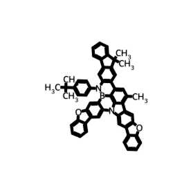 Cc1cc2c3c4c1c1cc5oc6ccccc6c5cc1n4-c1cc4c(cc1B3N(c1ccc(C(C)(C)C)cc1)c1cc3c(cc1-2)C(C)(C)c1ccccc1-3)oc1ccccc14